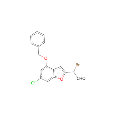 O=CC(Br)c1cc2c(OCc3ccccc3)cc(Cl)cc2o1